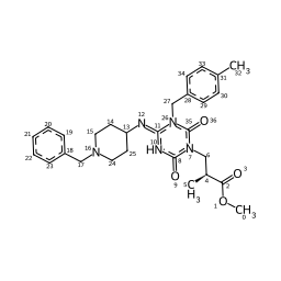 COC(=O)[C@@H](C)Cn1c(=O)[nH]/c(=N\C2CCN(Cc3ccccc3)CC2)n(Cc2ccc(C)cc2)c1=O